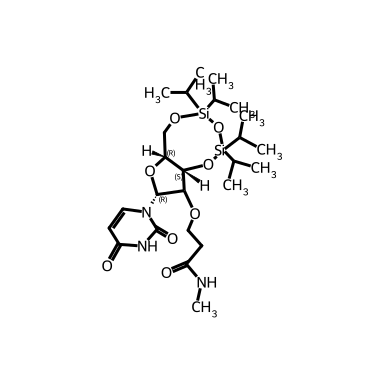 CNC(=O)CCOC1[C@H]2O[Si](C(C)C)(C(C)C)O[Si](C(C)C)(C(C)C)OC[C@H]2O[C@H]1n1ccc(=O)[nH]c1=O